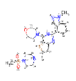 Cn1ncc2c(-c3nc(N4CCOCC4)c4sc(CN5CCN(S(C)(=O)=O)CC5)cc4n3)cccc21